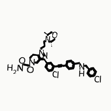 C[C@H]1COC[C@H](C)N1CCCn1nc(-c2ccc(Cl)c(C#Cc3ccc(CNCc4ccc(Cl)cc4)cc3)c2)c2c1CCN(C(=O)C(N)=O)C2